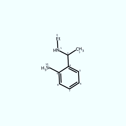 CCNC(C)c1ccccc1[SiH3]